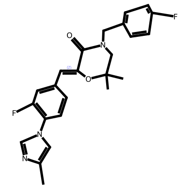 Cc1cn(-c2ccc(/C=C3\OC(C)(C)CN(Cc4ccc(F)cc4)C3=O)cc2F)cn1